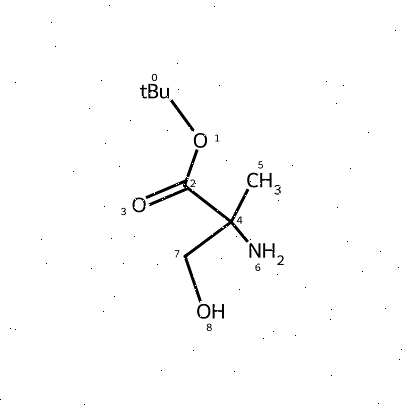 CC(C)(C)OC(=O)C(C)(N)CO